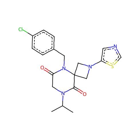 CC(C)N1CC(=O)N(Cc2ccc(Cl)cc2)C2(CN(c3cncs3)C2)C1=O